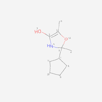 CC1=C(O)NC(C)(C2CCCC2)O1